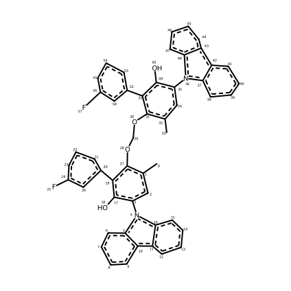 Cc1cc(-n2c3ccccc3c3ccccc32)c(O)c(-c2cccc(F)c2)c1OCOc1c(C)cc(-n2c3ccccc3c3ccccc32)c(O)c1-c1cccc(F)c1